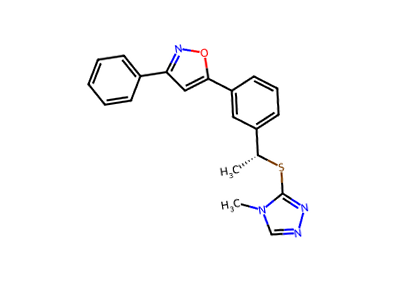 C[C@@H](Sc1nncn1C)c1cccc(-c2cc(-c3ccccc3)no2)c1